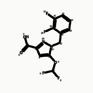 O=C(O)c1cc(OC(F)F)n(Cc2cccc(F)c2F)n1